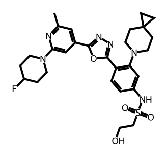 Cc1cc(-c2nnc(-c3ccc(NS(=O)(=O)CCO)cc3N3CCC4(CC3)CC4)o2)cc(N2CCC(F)CC2)n1